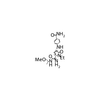 CCN1C(=O)[C@@H](CNc2ccc(C(N)=O)cc2)SC1[C@H](N)C(=O)NC(C)COC